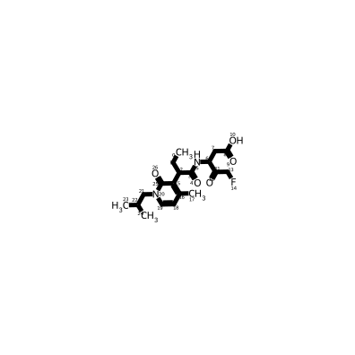 CCC(C(=O)NC(CC(=O)O)C(=O)CF)c1c(C)ccn(CC(C)C)c1=O